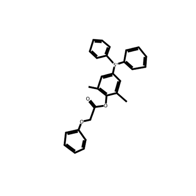 Cc1cc([S+](c2ccccc2)c2ccccc2)cc(C)c1OC(=O)COc1ccccc1